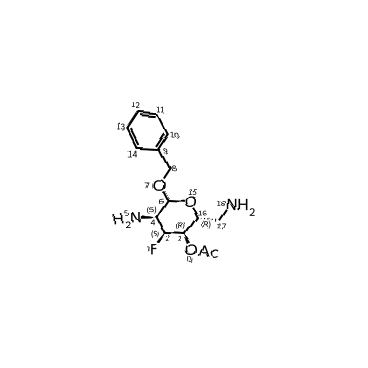 CC(=O)O[C@H]1[C@@H](F)[C@@H](N)C(OCc2ccccc2)O[C@@H]1CN